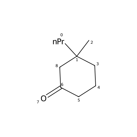 CCCC1(C)CCCC(=O)C1